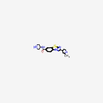 Cc1cc(-c2cn3c(n2)sc2cc(C(=O)NC4CCNCC4)ccc23)ccn1